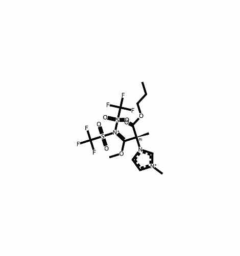 CCCOC(=O)[C@@](C)(C(OC)=[N+](S(=O)(=O)C(F)(F)F)S(=O)(=O)C(F)(F)F)n1cc[n+](C)c1